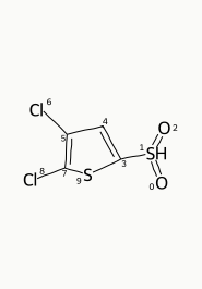 O=[SH](=O)c1cc(Cl)c(Cl)s1